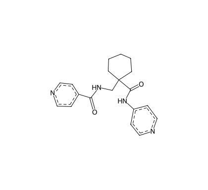 O=C(NCC1(C(=O)Nc2ccncc2)CCCCC1)c1ccncc1